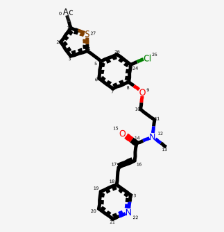 CC(=O)c1ccc(-c2ccc(OCCN(C)C(=O)C=Cc3cccnc3)c(Cl)c2)s1